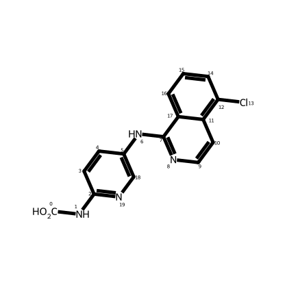 O=C(O)Nc1ccc(Nc2nccc3c(Cl)cccc23)cn1